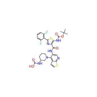 CC(C)(C)OC(=O)Nc1sc(-c2c(F)cccc2F)nc1C(=O)Nc1cnc2sccc2c1N1CCC[C@H](NC(=O)O)C1